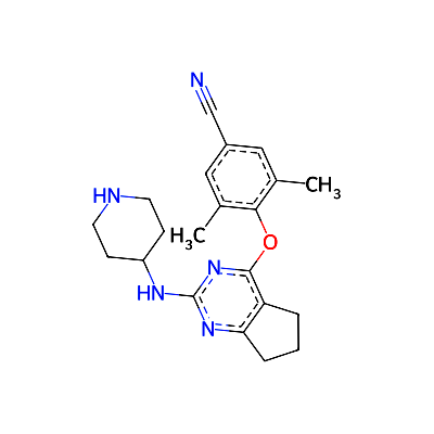 Cc1cc(C#N)cc(C)c1Oc1nc(NC2CCNCC2)nc2c1CCC2